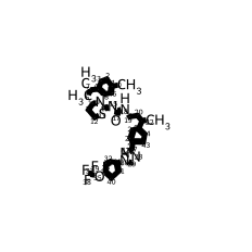 Cc1ccc(C(C)C)c(N2CCCS/C2=N\C(=O)NCCC(C)c2ccc(-c3ncn(-c4ccc(OC(F)(F)F)cc4)n3)cc2)c1